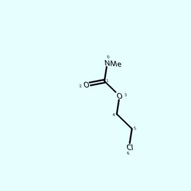 CNC(=O)OCCCl